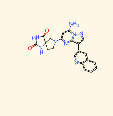 Nc1cc(N2CCC3(C2)NC(=O)NC3=O)nc2c(-c3cnc4ccccc4c3)cnn12